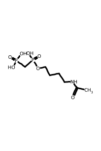 CC(=O)NCCCCOP(=O)(O)CP(=O)(O)O